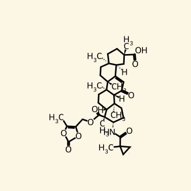 Cc1oc(=O)oc1COC(=O)[C@]1(C)[C@@H](NC(=O)C2(C)CC2)CC[C@@]2(C)[C@H]1CC[C@]1(C)[C@@H]2C(=O)C=C2[C@@H]3C[C@@](C)(C(=O)O)CC[C@]3(C)CC[C@]21C